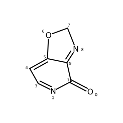 O=C1N=CC=C2OCN=C12